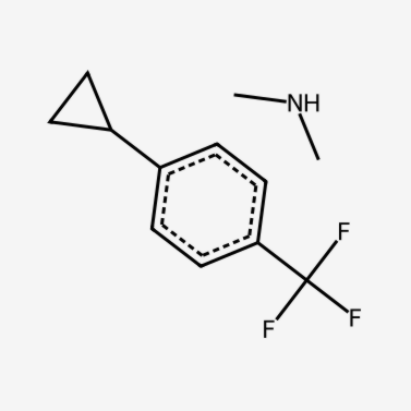 CNC.FC(F)(F)c1ccc(C2CC2)cc1